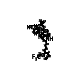 C#C/C=C\C(=C/CCC[C@H]1Cc2nn(-c3ccc(C#N)cn3)c(C(=O)NCC3(C#N)CC3)c2C(=O)N1)OCC(F)(F)F